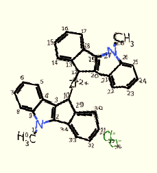 Cn1c2c(c3ccccc31)[CH]([Zr+2][CH]1c3ccccc3-c3c1c1ccccc1n3C)c1ccccc1-2.[Cl-].[Cl-]